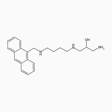 NCC(O)CNCCCCNCc1c2ccccc2cc2ccccc12